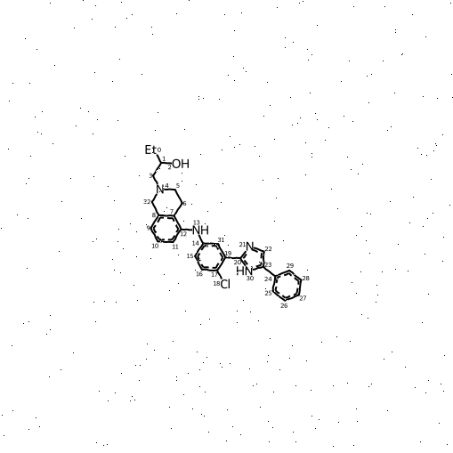 CCC(O)CN1CCc2c(cccc2Nc2ccc(Cl)c(-c3ncc(-c4ccccc4)[nH]3)c2)C1